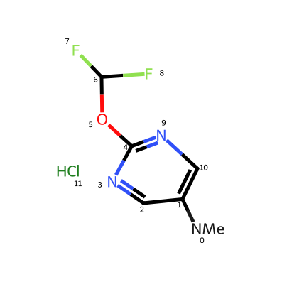 CNc1cnc(OC(F)F)nc1.Cl